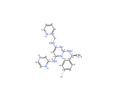 C[C@H](Nc1nc(NCc2ccccn2)cc(Nc2cnccn2)n1)c1ccc(F)cc1